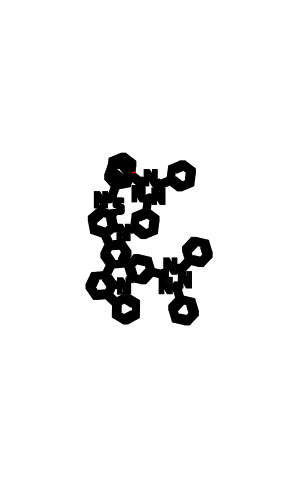 c1ccc(-c2nc(-c3ccccc3)nc(-c3cccc(-n4c5ccccc5c5cccc(-c6ccc7c(c6)c6ccc8nc(-c9ccccc9)sc8c6n7-c6cccc(-c7nc(-c8ccccc8)nc(-c8ccccc8)n7)c6)c54)c3)n2)cc1